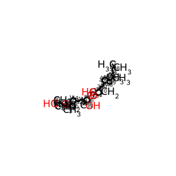 C=C1CC[C@](O)(OO[C@@H]2CC(=CC=C3CCC[C@@]4(C)C3CC[C@@H]4[C@H](C)OCCC(C)(C)O)C(=C)[C@@H](O)C2)C/C1=C/C=C1CCC[C@@]2(C)C1CC[C@@H]2[C@H](C)CCCC(C)C